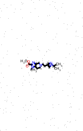 COC(=O)c1nc2c(n1C)CCN(CCc1cnn(C(C)C)c1)C2